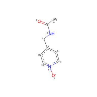 CC(C)C(=O)NCc1cc[n+]([O-])cc1